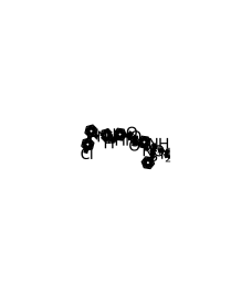 CN(C)CC[C@H](CSc1ccccc1)Nc1ccc(S(=O)(=O)NC(=O)c2ccc3c(c2)C[C@@H]2CN(Cc4ccccc4-c4ccc(Cl)cc4)CCN32)cc1[N+](=O)[O-]